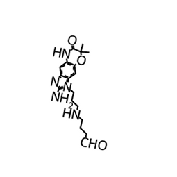 CC1(C)Oc2cc3c(cc2NC1=O)nc(N)n3CCCNCCCC=O